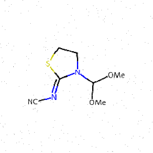 COC(OC)N1CCSC1=NC#N